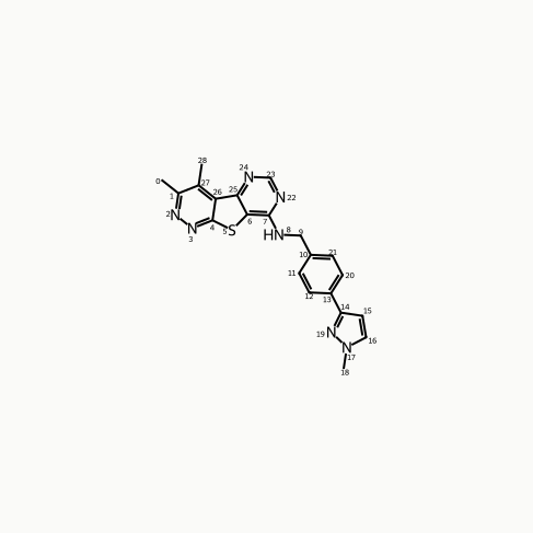 Cc1nnc2sc3c(NCc4ccc(-c5ccn(C)n5)cc4)ncnc3c2c1C